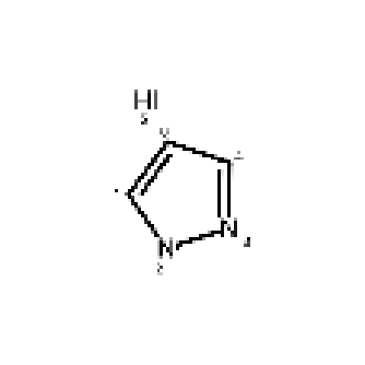 C1=C[N]N=C1.I